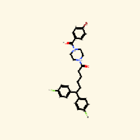 O=C(CCCCC(c1ccc(F)cc1)c1ccc(F)cc1)N1CCN(C(=O)c2ccc(Br)cc2)CC1